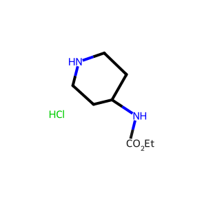 CCOC(=O)NC1CCNCC1.Cl